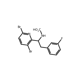 O=C(O)NC(Cc1cccc(F)c1)c1nc(Br)ccc1Br